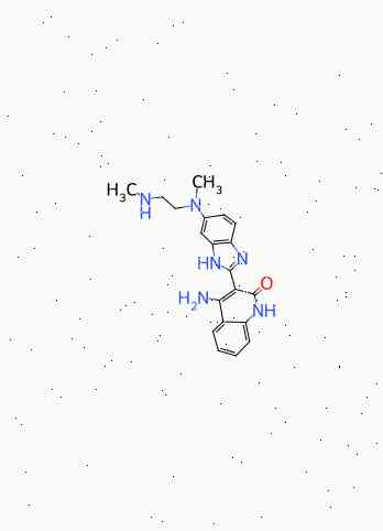 CNCCN(C)c1ccc2nc(-c3c(N)c4ccccc4[nH]c3=O)[nH]c2c1